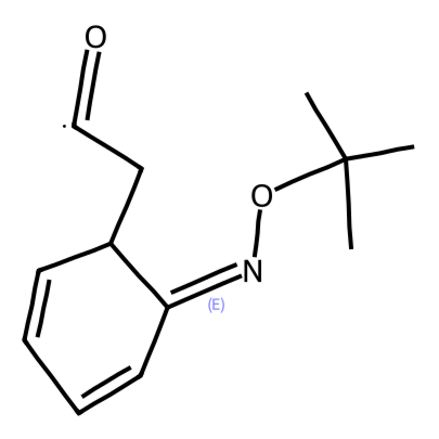 CC(C)(C)O/N=C1/C=CC=CC1C[C]=O